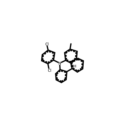 Cc1ccc(O)c(N(c2cc(Cl)ccc2Cl)c2ccccc2-c2ccccc2)c1